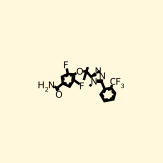 Cn1c(-c2ccccc2C(F)(F)F)nnc1C(C)(C)Oc1c(F)cc(C(N)=O)cc1F